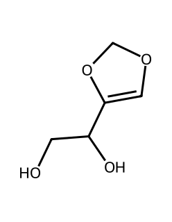 OCC(O)C1=COCO1